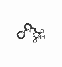 O=C1NC(=O)C(=Cc2cccc(N3CCCCC3)n2)S1